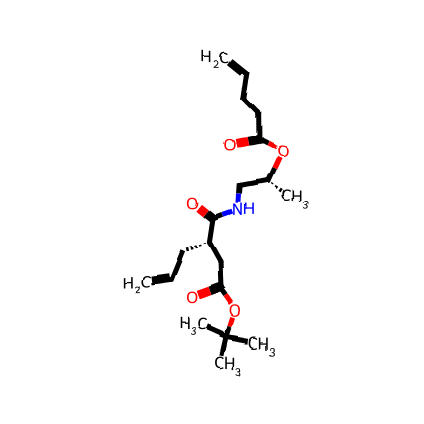 C=CCCC(=O)O[C@H](C)CNC(=O)[C@@H](CC=C)CC(=O)OC(C)(C)C